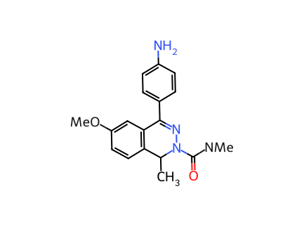 CNC(=O)N1N=C(c2ccc(N)cc2)c2cc(OC)ccc2C1C